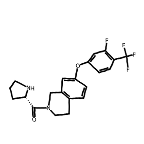 O=C([C@@H]1CCCN1)N1CCc2ccc(Oc3ccc(C(F)(F)F)c(F)c3)cc2C1